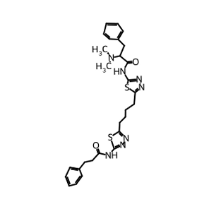 CN(C)C(Cc1ccccc1)C(=O)Nc1nnc(CCCCc2nnc(NC(=O)CCc3ccccc3)s2)s1